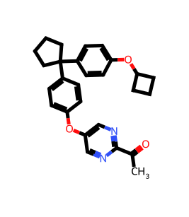 CC(=O)c1ncc(Oc2ccc(C3(c4ccc(OC5CCC5)cc4)CCCC3)cc2)cn1